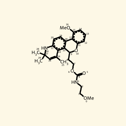 COCCNC(=O)OCCC1Oc2cccc(OC)c2-c2ccc3c(c21)C(C)=CC(C)(C)N3